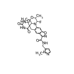 CC1OC(C)C2N(c3cc4onc(C(=O)NCc5ccnn5C)c4cc3CC23C(=O)NC(=O)NC3=O)C1F